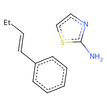 CCC=Cc1ccccc1.Nc1nccs1